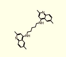 Cc1ccc2nc(C)cc(NCCCCCNc3cc(C)nc4ccc(C)cc34)c2c1